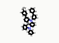 CC(C)c1ccc(-c2ccc3c(c2)N(c2cccc(-c4ccccc4)c2)c2cccc4c2B3c2ccccc2N4c2ccccc2)cc1